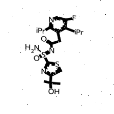 CC(C)c1ncc(F)c(C(C)C)c1CC(=O)N=[S@](N)(=O)c1nc(C(C)(C)O)cs1